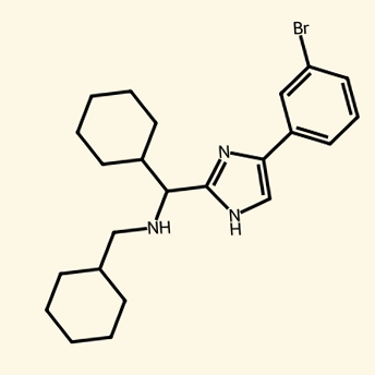 Brc1cccc(-c2c[nH]c(C(NCC3CCCCC3)C3CCCCC3)n2)c1